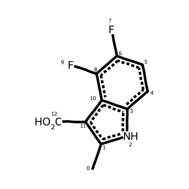 Cc1[nH]c2ccc(F)c(F)c2c1C(=O)O